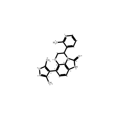 Cc1ncccc1C1COc2c(-c3c(C)noc3C)ccc3[nH]c(=O)n1c23